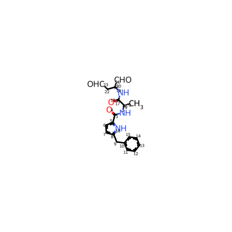 C[C@@H](NC(=O)c1ccc(Cc2ccccc2)[nH]1)C(=O)N[C@H](C=O)CC=O